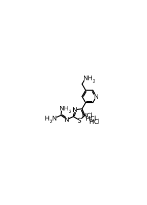 Cl.Cl.Cl.NCc1cncc(-c2csc(N=C(N)N)n2)c1